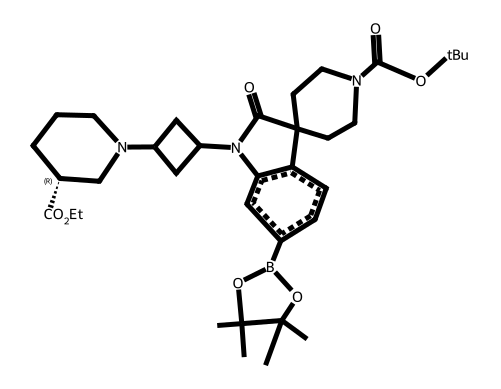 CCOC(=O)[C@@H]1CCCN(C2CC(N3C(=O)C4(CCN(C(=O)OC(C)(C)C)CC4)c4ccc(B5OC(C)(C)C(C)(C)O5)cc43)C2)C1